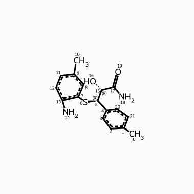 Cc1ccc([C@@H](Sc2cc(C)ccc2N)[C@H](O)C(N)=O)cc1